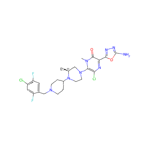 CC[C@H]1CN(c2c(Cl)nc(-c3nnc(N)o3)c(=O)n2C)CCN1C1CCN(Cc2cc(F)c(Cl)cc2F)CC1